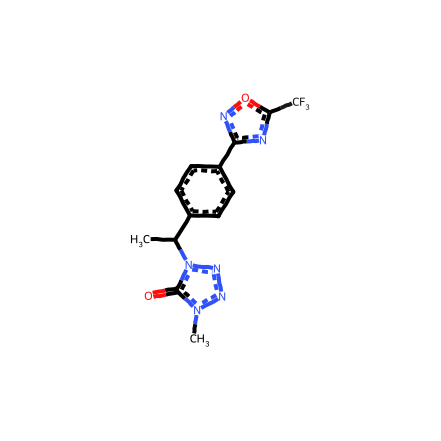 CC(c1ccc(-c2noc(C(F)(F)F)n2)cc1)n1nnn(C)c1=O